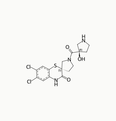 O=C(N1CC[C@@]2(C1)Sc1cc(Cl)c(Cl)cc1NC2=O)[C@@]1(O)CCNC1